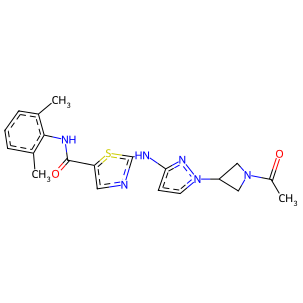 CC(=O)N1CC(n2ccc(Nc3ncc(C(=O)Nc4c(C)cccc4C)s3)n2)C1